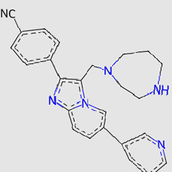 N#Cc1ccc(-c2nc3ccc(-c4cccnc4)cn3c2CN2CCCNCC2)cc1